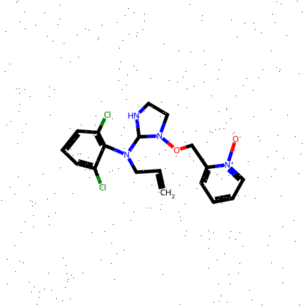 C=CCN(c1c(Cl)cccc1Cl)C1NCCN1OCc1cccc[n+]1[O-]